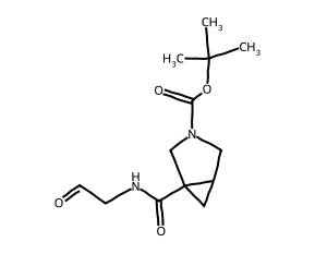 CC(C)(C)OC(=O)N1CC2CC2(C(=O)NCC=O)C1